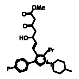 COC(=O)CC(=O)CC(O)/C=C/c1c(-c2ccc(F)cc2)cn(N2CCC(C)CC2)c1C(C)C